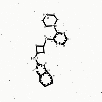 c1ccc2sc(NC3CC(Oc4nccnc4N4CCNCC4)C3)nc2c1